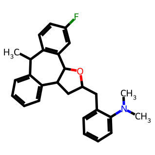 CC1c2ccccc2C2CC(Cc3ccccc3N(C)C)OC2c2cc(F)ccc21